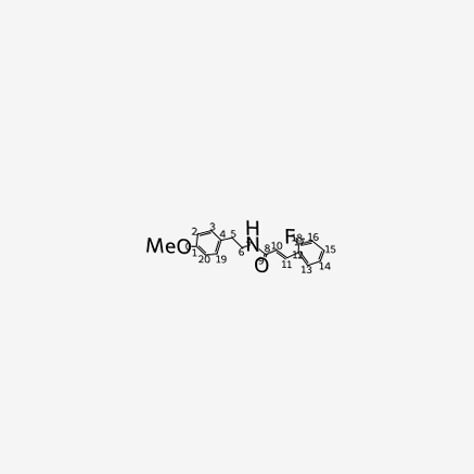 COc1ccc(CCNC(=O)C=Cc2ccccc2F)cc1